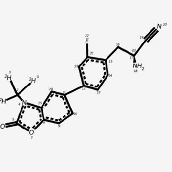 [2H]C([2H])([2H])n1c(=O)oc2ccc(-c3ccc(C[C@H](N)C#N)c(F)c3)cc21